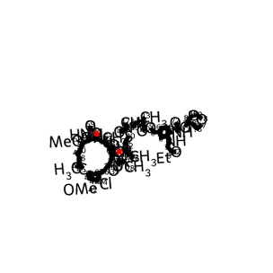 CCC(=O)CNc1cc(COC(=O)N(C)CCN(C)C(=O)SCCC(=O)N(C)[C@@H](C)C(=O)O[C@H]2CC(=O)Cc3cc(cc(OC)c3Cl)C/C(C)=C/C=C/[C@@H](OC)[C@@]3(O)C[C@H](OC(=O)N3)[C@@H](C)[C@@H]3O[C@@]23C)ccc1NC(=O)OC1/C=C/COCOC1